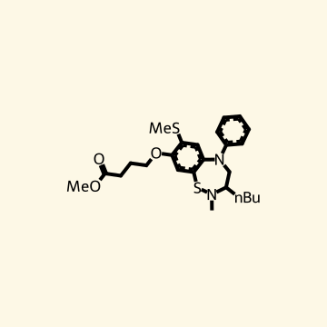 CCCCC1CN(c2ccccc2)c2cc(SC)c(OCCCC(=O)OC)cc2SN1C